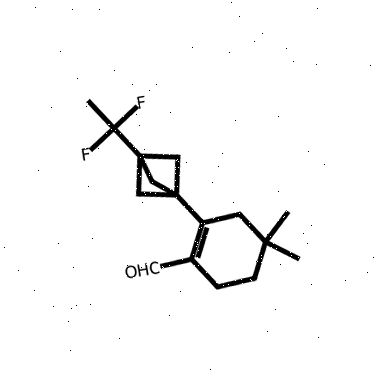 CC1(C)CCC(C=O)=C(C23CC(C(C)(F)F)(C2)C3)C1